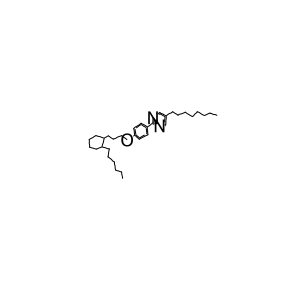 CCCCCCCCc1cnc(-c2ccc(OCCCC3CCCCC3CCCCCC)cc2)nc1